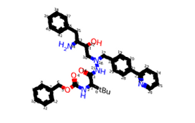 CC(C)(C)C(NC(=O)OCc1ccccc1)C(=O)NN(Cc1ccc(-c2ccccn2)cc1)CC(O)C(N)Cc1ccccc1